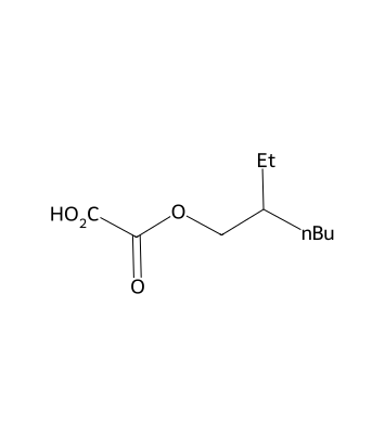 CCCCC(CC)COC(=O)C(=O)O